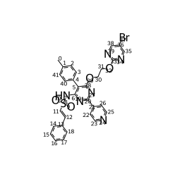 Cc1ccc(-c2c(NS(=O)(=O)C=Cc3ccccc3)nc(-c3ccncc3)nc2OCCOc2ncc(Br)cn2)cc1